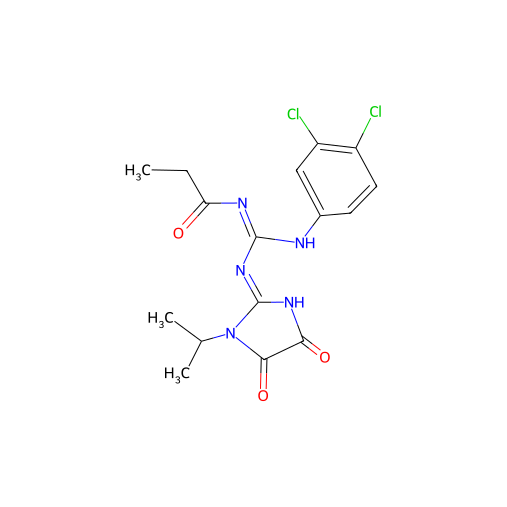 CCC(=O)N=C(N=C1NC(=O)C(=O)N1C(C)C)Nc1ccc(Cl)c(Cl)c1